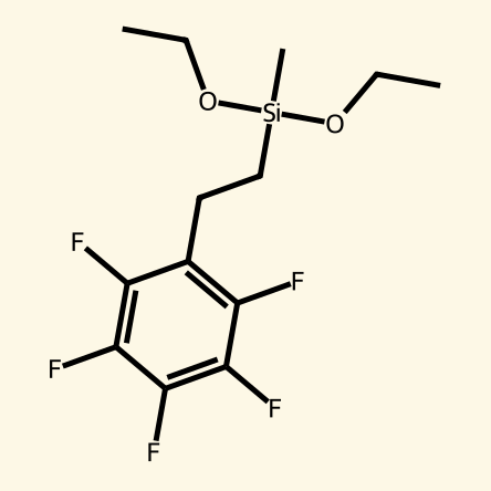 CCO[Si](C)(CCc1c(F)c(F)c(F)c(F)c1F)OCC